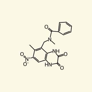 Cc1c([N+](=O)[O-])cc2[nH]c(=O)c(=O)[nH]c2c1CN(C)C(=O)c1ccccc1